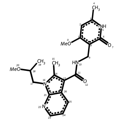 COc1cc(C)[nH]c(=O)c1CNC(=O)c1c(C)n(CC(C)OC)c2ncccc12